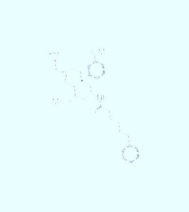 COc1cccc(C23CCN(CC4CC4)CC2C(OC)CC(NC(=O)CCCCCc2ccccc2)C3)c1